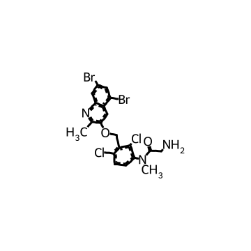 Cc1nc2cc(Br)cc(Br)c2cc1OCc1c(Cl)ccc(N(C)C(=O)CN)c1Cl